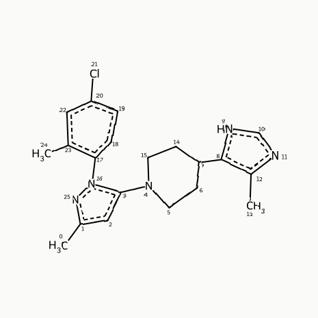 Cc1cc(N2CCC(c3[nH]cnc3C)CC2)n(-c2ccc(Cl)cc2C)n1